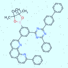 CC1(C)OB(c2cc(-c3ccc4ccc5ccc(-c6ccccc6)nc5c4n3)cc(-c3nc(-c4ccccc4)nc(-c4ccc(-c5ccccc5)cc4)n3)c2)OC1(C)C